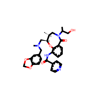 CC(CO)N1C[C@@H](C)[C@H](CN(C)Cc2ccc3c(c2)OCO3)Oc2c(NC(=O)c3ccncc3)cccc2C1=O